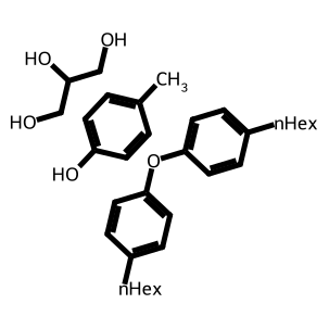 CCCCCCc1ccc(Oc2ccc(CCCCCC)cc2)cc1.Cc1ccc(O)cc1.OCC(O)CO